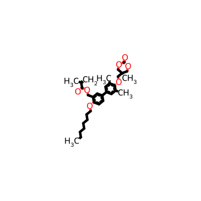 C=C(C)C(=O)OCc1cc(-c2cc(C)c(OCC3(C)COC(=O)OC3)c(C)c2)ccc1OCCCCCCCC